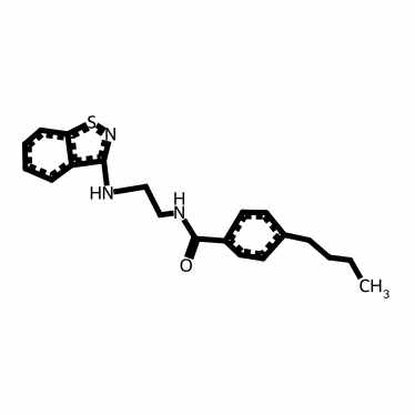 CCCCc1ccc(C(=O)NCCNc2nsc3ccccc23)cc1